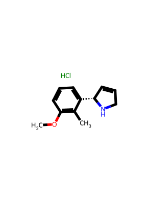 COc1cccc([C@@H]2C=CCN2)c1C.Cl